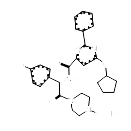 CCOC(=O)N1CCN(C(=O)[C@@H](NC(=O)c2cc(OC3CCCC3)nc(-c3ccccc3)n2)c2ccc(O)cc2)CC1